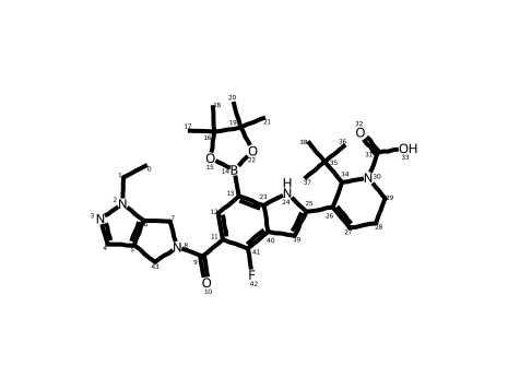 CCn1ncc2c1CN(C(=O)c1cc(B3OC(C)(C)C(C)(C)O3)c3[nH]c(C4=CCCN(C(=O)O)C4C(C)(C)C)cc3c1F)C2